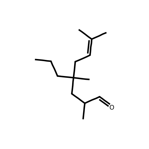 CCCC(C)(CC=C(C)C)CC(C)C=O